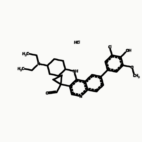 CCN(CC)C1CCC(Nc2c(C3(C=O)CC3)cnc3ccc(-c4cc(Cl)c(O)c(OC)c4)cc23)CC1.Cl